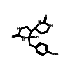 COc1ccc(CC2(O)NC(=S)NCC2C2CCNC(=S)N2)cc1